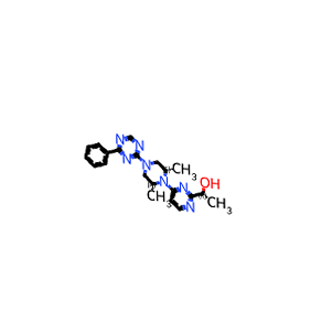 C[C@@H]1CN(c2ncnc(-c3ccccc3)n2)C[C@H](C)N1c1ccnc([C@@H](C)O)n1